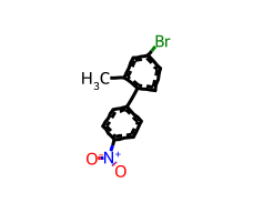 Cc1cc(Br)ccc1-c1ccc([N+](=O)[O-])cc1